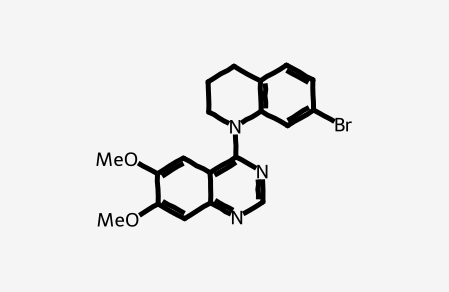 COc1cc2ncnc(N3CCCc4ccc(Br)cc43)c2cc1OC